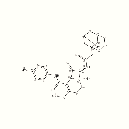 CC(=O)OCC1=C(C(=O)Nc2ccc(O)cc2)N2C(=O)[C@@H](NC(=O)CC34CC5CC(CC(C5)C3)C4)[C@H]2SC1